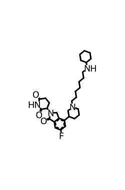 O=C1CCC(N2Cc3c(cc(F)cc3C3CCCN(CCCCCCCNC4CCCCC4)C3)C2=O)C(=O)N1